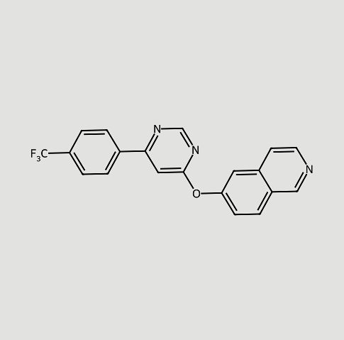 FC(F)(F)c1ccc(-c2cc(Oc3ccc4cnccc4c3)ncn2)cc1